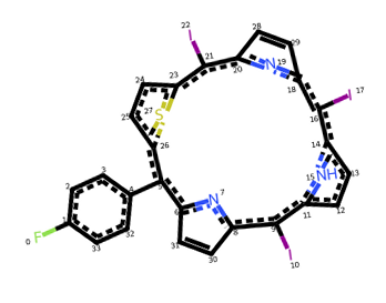 Fc1ccc(-c2c3nc(c(I)c4ccc([nH]4)c(I)c4nc(c(I)c5ccc2s5)C=C4)C=C3)cc1